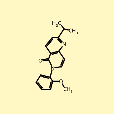 COc1ccccc1-n1ccc2nc(C(C)C)ccc2c1=O